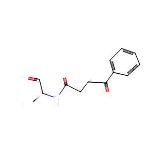 C[C@@H]([C]=O)NC(=O)CCC(=O)c1ccccc1